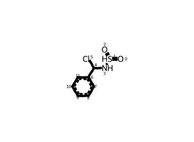 O=[SH](=O)NC(Cl)c1ccccc1